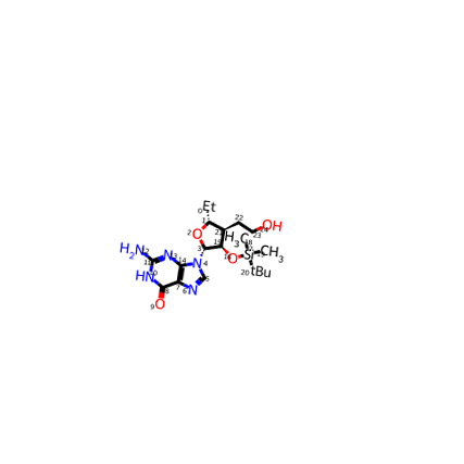 CC[C@H]1O[C@@H](n2cnc3c(=O)[nH]c(N)nc32)[C@H](O[Si](C)(C)C(C)(C)C)[C@@H]1CCO